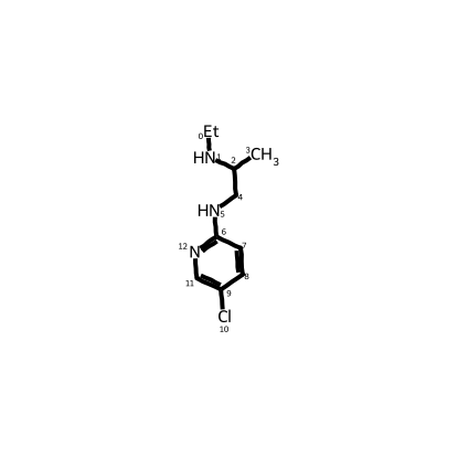 CCNC(C)CNc1ccc(Cl)cn1